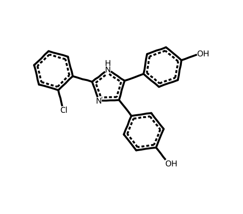 Oc1ccc(-c2nc(-c3ccccc3Cl)[nH]c2-c2ccc(O)cc2)cc1